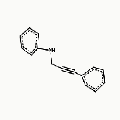 C(#Cc1cc[c]cc1)CNc1ccccc1